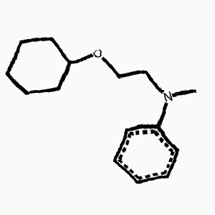 CN(CCOC1CCCCC1)c1ccccc1